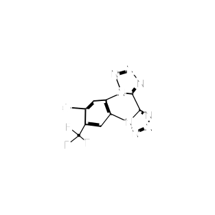 FC(F)(F)c1cc2c(cc1Cl)n1nnnc1c1nnnn21